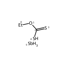 CCOC(=S)S.[SbH3]